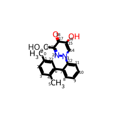 Cc1ccc(C)c(-c2ccccc2-n2cc(O)c(=O)c(C(=O)O)n2)c1